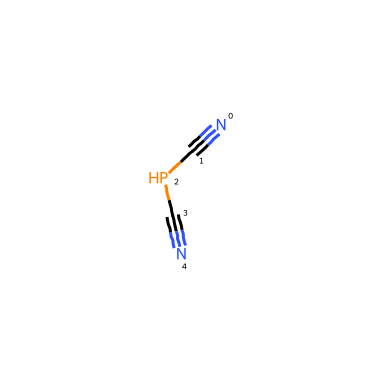 N#CPC#N